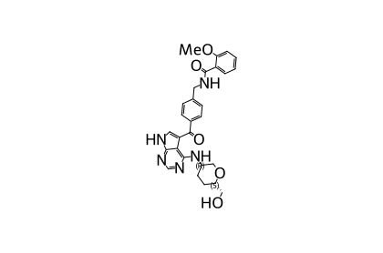 COc1ccccc1C(=O)NCc1ccc(C(=O)c2c[nH]c3ncnc(N[C@@H]4CC[C@@H](CO)OC4)c23)cc1